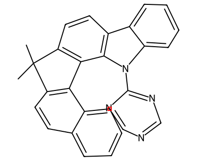 CC1(C)c2ccc3ccccc3c2-c2c1ccc1c3ccccc3n(-c3ncncn3)c21